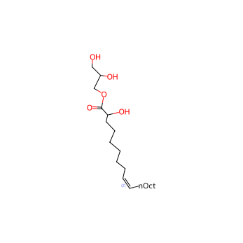 CCCCCCCC/C=C\CCCCCCC(O)C(=O)OCC(O)CO